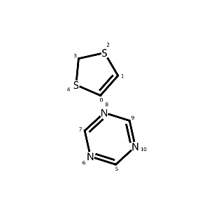 C1=CSCS1.c1ncncn1